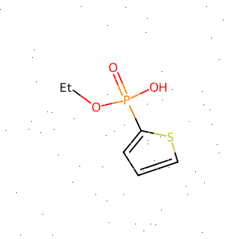 CCOP(=O)(O)c1cccs1